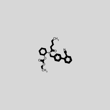 CCCCC(=O)N(Cc1ccc(-c2ccccc2C#N)cc1)[C@H]1CCCC[C@H]1OC(=O)OCC